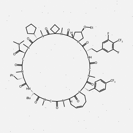 CCO[C@@H]1C[C@H]2C(=O)N(C)C3(CCC3)C(=O)N(C)[C@@H](C3CCCC3)C(=O)N(C)[C@H](C(=O)N(C)C)CC(=O)N(C)[C@@H](CC(C)C)C(=O)N[C@@H]([C@@H](C)CC)C(=O)N(C)CC(=O)N(C)[C@H]3C/C=C\CCN(C3=O)[C@@H](Cc3ccc(C(F)(F)F)cc3)C(=O)N(C)CC(=O)N[C@@H](CCc3cc(F)c(C(F)(F)F)c(F)c3)C(=O)N2C1